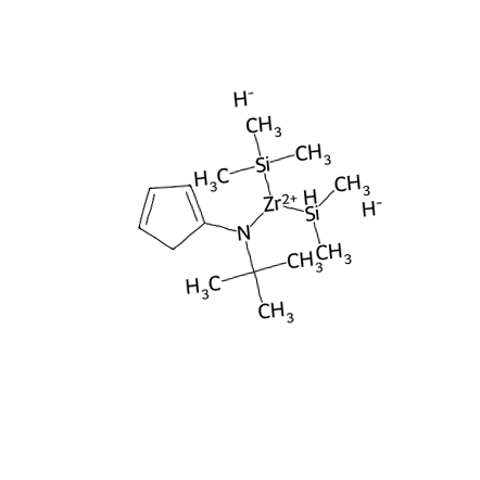 C[SiH](C)[Zr+2]([N](C1=CC=CC1)C(C)(C)C)[Si](C)(C)C.[H-].[H-]